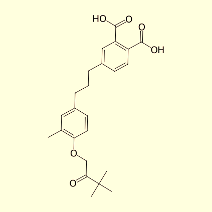 Cc1cc(CCCc2ccc(C(=O)O)c(C(=O)O)c2)ccc1OCC(=O)C(C)(C)C